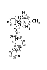 Cc1cc(C)c(S(=O)(=O)N2CCCCC2COCC(=O)N2CCCN(Cc3ccccc3)CC2)c(C)c1